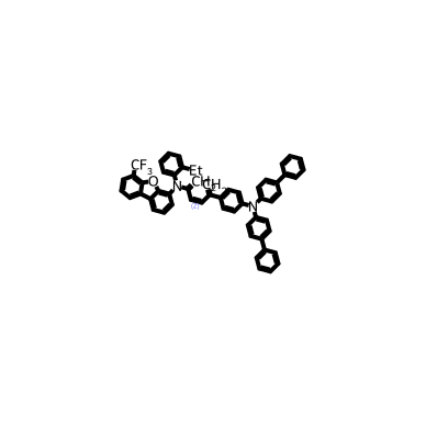 C=C(/C=C\C(=C)N(c1ccccc1CC)c1cccc2c1oc1c(C(F)(F)F)cccc12)c1ccc(N(c2ccc(-c3ccccc3)cc2)c2ccc(-c3ccccc3)cc2)cc1